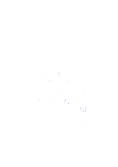 O=C1CCN(C2(F)C(F)(OC(F)(F)F)C=CC(F)(OC(=O)c3ccccc3)C2(F)F)C(=O)N1